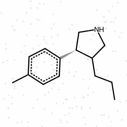 CCCC1CNC[C@H]1c1ccc(C)cc1